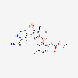 CCOC(=O)Cc1ccc(C)cc1OC1=CC(c2ccnc(CN)c2)=C(O)[C@]1(C)F